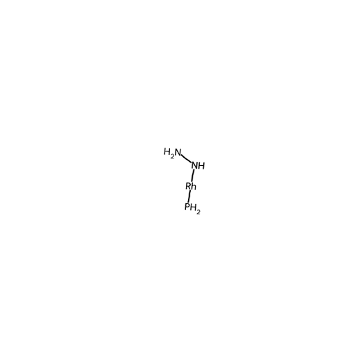 N[NH][Rh][PH2]